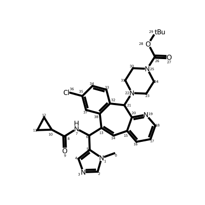 Cn1cncc1C(NC(=O)C1CC1)C1=Cc2cccnc2C(N2CCN(C(=O)OC(C)(C)C)CC2)c2ccc(Cl)cc21